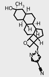 C[C@@]1(O)CC[C@H]2[C@H](CC[C@@H]3[C@@H]2CC[C@]24C5OCC5(Cn5cc(C#N)cn5)[C@H]2CC[C@@H]34)C1